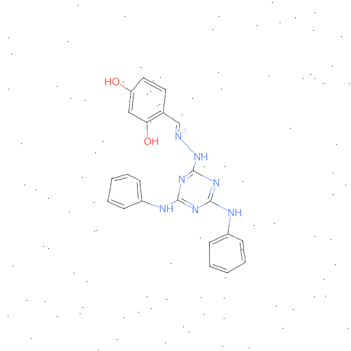 Oc1ccc(/C=N/Nc2nc(Nc3ccccc3)nc(Nc3ccccc3)n2)c(O)c1